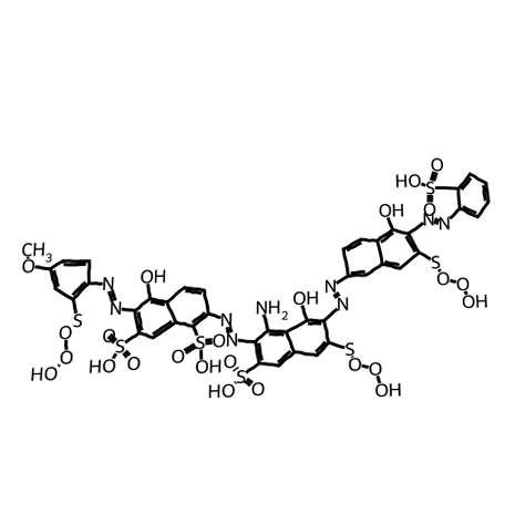 COc1ccc(N=Nc2c(S(=O)(=O)O)cc3c(S(=O)(=O)O)c(N=Nc4c(S(=O)(=O)O)cc5cc(SOOO)c(N=Nc6ccc7c(O)c(N=Nc8ccccc8S(=O)(=O)O)c(SOOO)cc7c6)c(O)c5c4N)ccc3c2O)c(SOOO)c1